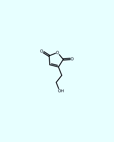 O=C1C=C(CCO)C(=O)O1